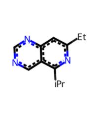 CCc1cc2ncncc2c(C(C)C)n1